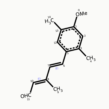 COc1cc(C)c(/C=C/C(C)=C/C=O)cc1C